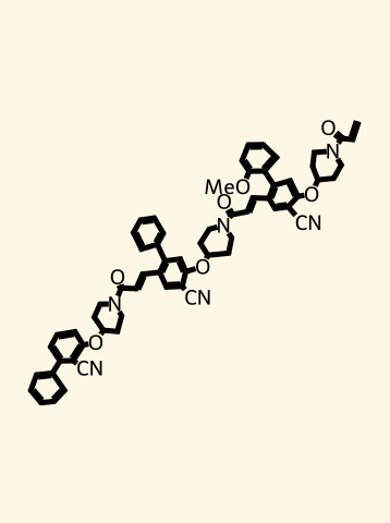 C=CC(=O)N1CCC(Oc2cc(-c3ccccc3OC)c(/C=C/C(=O)N3CCC(Oc4cc(-c5ccccc5)c(/C=C/C(=O)N5CCC(Oc6cccc(-c7ccccc7)c6C#N)CC5)cc4C#N)CC3)cc2C#N)CC1